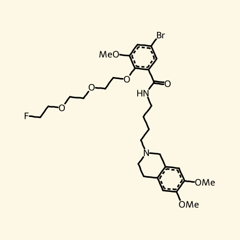 COc1cc2c(cc1OC)CN(CCCCNC(=O)c1cc(Br)cc(OC)c1OCCOCCOCCF)CC2